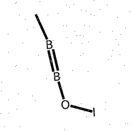 CB=BOI